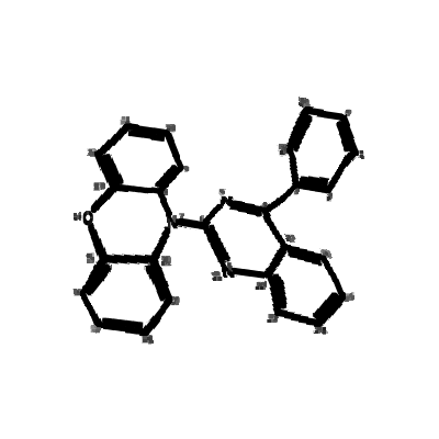 c1ccc(-c2nc(N3c4ccccc4Oc4ccccc43)nc3ccccc23)cc1